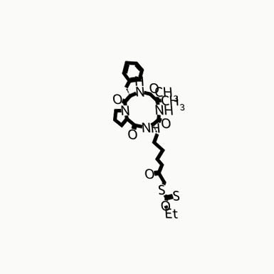 CCOC(=S)SCC(=O)CCCCC[C@@H]1NC(=O)C2CCCN2C(=O)[C@H](Cc2ccccc2)NC(=O)C(C)(C)NC1=O